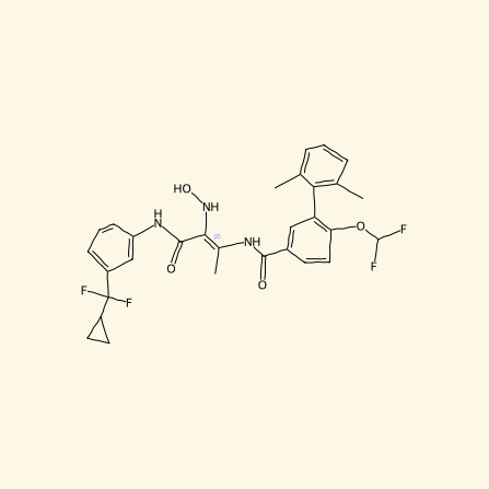 C/C(NC(=O)c1ccc(OC(F)F)c(-c2c(C)cccc2C)c1)=C(/NO)C(=O)Nc1cccc(C(F)(F)C2CC2)c1